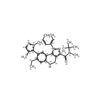 C/C=C\C(=C/C)n1nc(C(=O)N(C)C(C)(C)C)c2c1-c1cc(-c3c(C)cnn3C)c(CC)cc1NC2